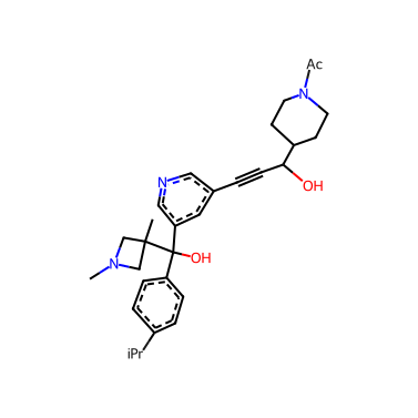 CC(=O)N1CCC(C(O)C#Cc2cncc(C(O)(c3ccc(C(C)C)cc3)C3(C)CN(C)C3)c2)CC1